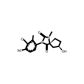 Cc1c(N2C(=O)N(C)[C@@]3(CC[C@@H](O)C3)C2=O)ccc(C#N)c1Cl